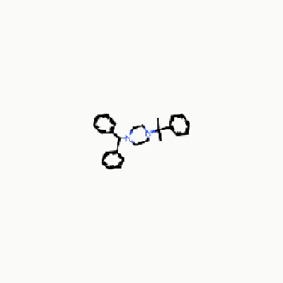 CC(C)(c1ccccc1)N1CCN(C(c2ccccc2)c2ccccc2)CC1